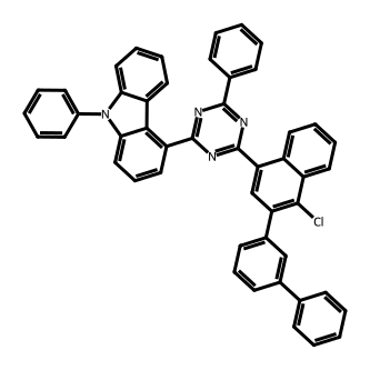 Clc1c(-c2cccc(-c3ccccc3)c2)cc(-c2nc(-c3ccccc3)nc(-c3cccc4c3c3ccccc3n4-c3ccccc3)n2)c2ccccc12